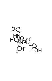 COc1cccc(CNC[C@@H](O)[C@H](Cc2cc(F)cc(F)c2)NC(=O)c2cc(C)cc(Cc3cccc(O)c3C)c2)c1